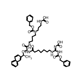 C[C@H](O[C@H](NC(=O)CCCCCCNC(=NC(=O)O)NC(=O)OCc1ccccc1)C(=O)NCCCCN(CCCNC(=O)O)C(=O)OCc1ccccc1)c1ccc2ccccc2c1